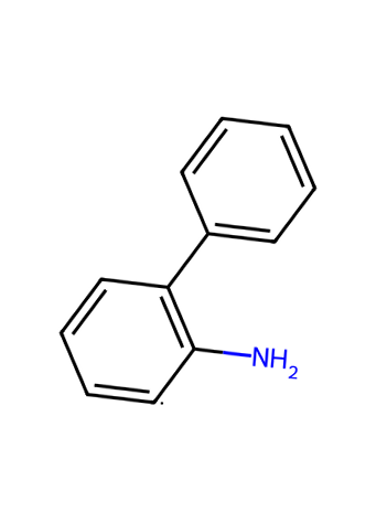 Nc1[c]cccc1-c1ccccc1